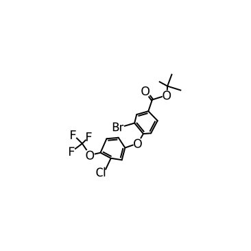 CC(C)(C)OC(=O)c1ccc(Oc2ccc(OC(F)(F)F)c(Cl)c2)c(Br)c1